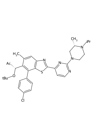 CC(=O)[C@@H](OC(C)(C)C)c1c(C)cc2nc(-c3ccnc(N4CCN(C(C)C)[C@@H](C)C4)n3)sc2c1-c1ccc(Cl)cc1